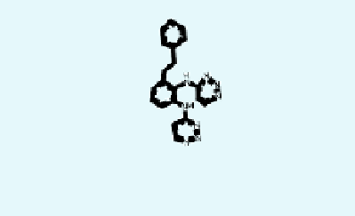 c1ccc(CCc2cccc(Nc3ccnnn3)c2Nc2ccnnn2)cc1